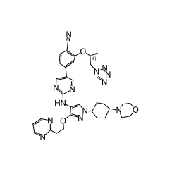 C[C@@H](Cn1cnnn1)Oc1cc(-c2cnc(Nc3cn([C@H]4CC[C@H](N5CCOCC5)CC4)nc3OCCc3ncccn3)nc2)ccc1C#N